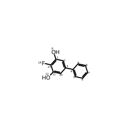 Oc1cc(-c2ccccc2)cc(O)c1F